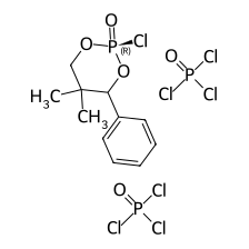 CC1(C)CO[P@@](=O)(Cl)OC1c1ccccc1.O=P(Cl)(Cl)Cl.O=P(Cl)(Cl)Cl